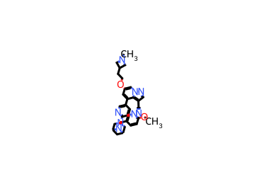 COc1ccc(CN2C3CC2CN(c2ccc(-c4cc(OCCC5CN(C)C5)cn5ncc(C#N)c45)cn2)C3)cn1